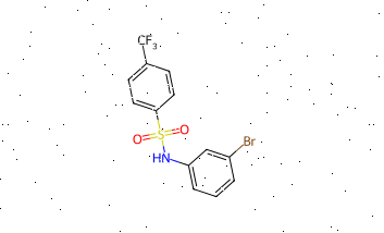 O=S(=O)(Nc1cccc(Br)c1)c1ccc(C(F)(F)F)cc1